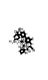 CN1CCC2(CC1)C(=O)N(C)c1ccc(-c3ccc(C[C@@H](C#N)NC(=O)[C@@H]4[C@H]5CC[C@H](C5)N4C(=O)OC(C)(C)C)c(F)c3)cc12